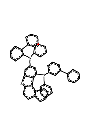 c1ccc(-c2cccc(N(c3ccccc3)c3cc(N(c4ccccc4)c4ccccc4-c4ccccc4)cc4sc5ccc6ccccc6c5c34)c2)cc1